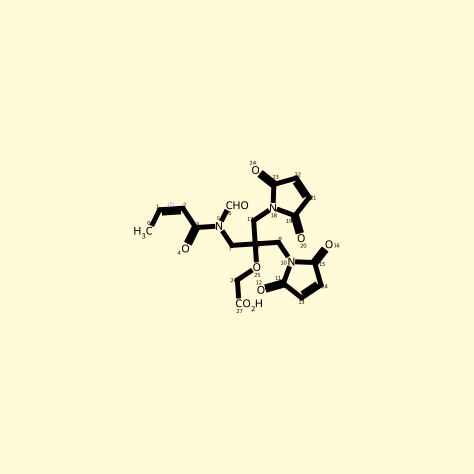 C/C=C\C(=O)N(C=O)CC(CN1C(=O)C=CC1=O)(CN1C(=O)C=CC1=O)OCC(=O)O